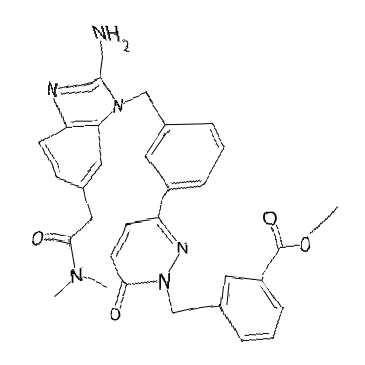 COC(=O)c1cccc(Cn2nc(-c3cccc(Cn4c(N)nc5ccc(CC(=O)N(C)C)cc54)c3)ccc2=O)c1